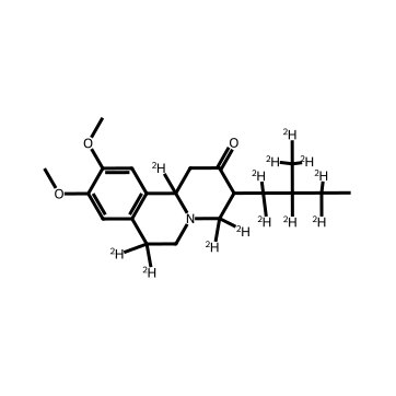 [2H]C1([2H])CN2C([2H])(CC(=O)C(C([2H])([2H])C([2H])(C([2H])([2H])[2H])C([2H])([2H])C)C2([2H])[2H])c2cc(OC)c(OC)cc21